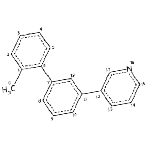 Cc1ccccc1-c1cccc(-c2cccnc2)c1